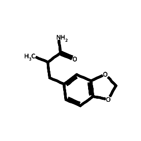 CC(Cc1ccc2c(c1)OCO2)C(N)=O